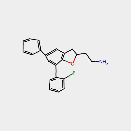 NCCC1Cc2cc(-c3ccccc3)cc(-c3ccccc3F)c2O1